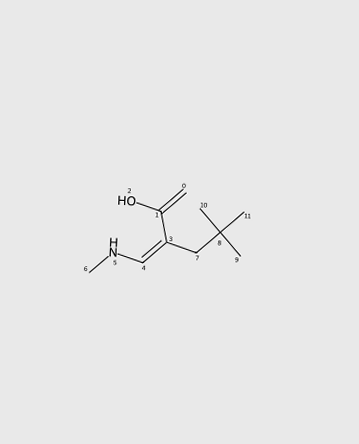 C=C(O)/C(=C\NC)CC(C)(C)C